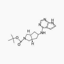 CC(C)(C)OC(=O)N1C[C@H]2CC(Nc3ncnc4[nH]ccc34)C[C@@H]2C1